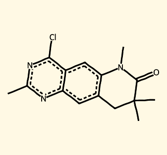 Cc1nc(Cl)c2cc3c(cc2n1)CC(C)(C)C(=O)N3C